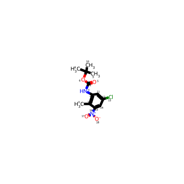 Cc1c(NC(=O)OC(C)(C)C)cc(Cl)cc1[N+](=O)[O-]